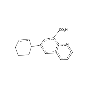 O=C(O)c1cc(C2C=CCCC2)cc2cccnc12